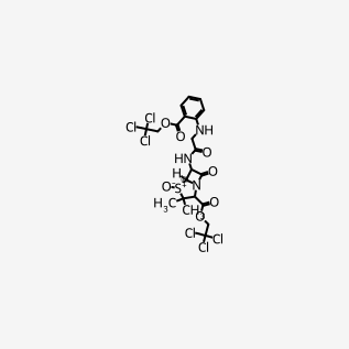 CC1(C)C(C(=O)OCC(Cl)(Cl)Cl)N2C(=O)C(NC(=O)CNc3ccccc3C(=O)OCC(Cl)(Cl)Cl)[C@H]2[S+]1[O-]